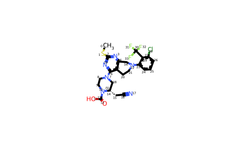 CSc1nc2c(c(N3CCN(C(=O)O)[C@@H](CC#N)C3)n1)CCN(c1cccc(Cl)c1C(F)(F)F)C2